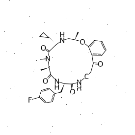 C[C@@H]1CN[C@@H](C2CC2)C(=O)N(C)[C@H](C)C(=O)N[C@H](Cc2ccc(F)cc2)C(=O)NCCC(=O)c2ccccc2O1